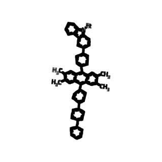 CCn1c2ccccc2c2cc(-c3ccc(-c4c5cc(C)c(C)cc5c(-c5ccc(-c6ccc(-c7ccccc7)cc6)cc5)c5cc(C)c(C)cc45)cc3)ccc21